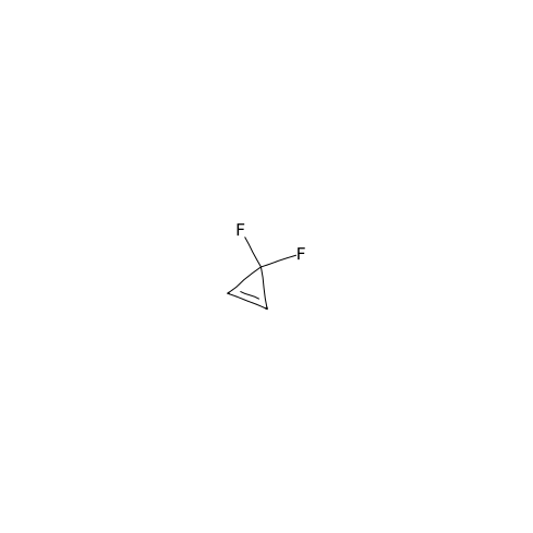 FC1(F)C=C1